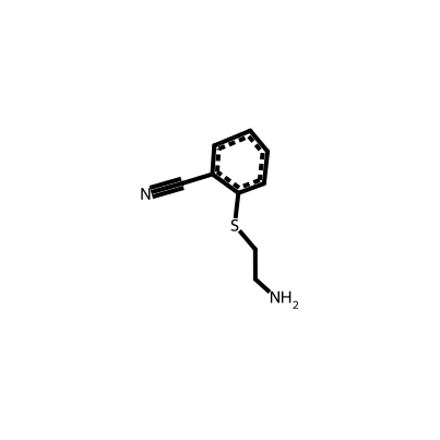 N#Cc1ccccc1SCCN